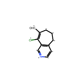 O=CC1=C(Cl)c2cnccc2CCC1